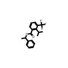 CC(C)c1c(C(=O)OC(C)c2ccccc2)cccc1C(F)(F)F